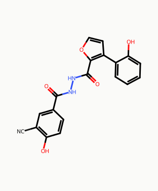 N#Cc1cc(C(=O)NNC(=O)c2occc2-c2ccccc2O)ccc1O